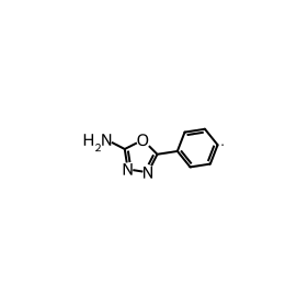 Nc1nnc(-c2cc[c]cc2)o1